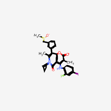 Cc1c(Nc2ccc(I)cc2F)c2c(=O)n(C3CC3)c(C)c(-c3cccc(C[S+](C)[O-])c3)c2oc1=O